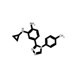 Cc1ccc(-n2cnnc2-c2ccc(N)c(NC3CC3)c2)cc1